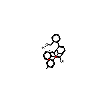 O=C1C(c2ccc(F)cc2)=C(O)C2=CC=C(c3ccccc3COS)C1C2Nc1ccccc1